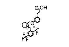 O=C(O)CCc1cccc(OCC2CCCCN2Cc2cc(C(F)(F)F)ccc2C(F)(F)F)c1